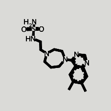 Cc1cc2ncnc(N3CCCN(CCNS(N)(=O)=O)CC3)c2cc1C